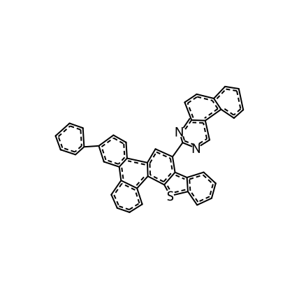 c1ccc(-c2ccc3c(c2)c2ccccc2c2c3cc(-c3ncc4c(ccc5ccccc54)n3)c3c4ccccc4sc32)cc1